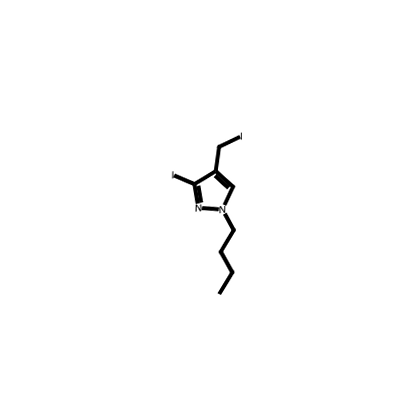 CCCCn1cc(CI)c(I)n1